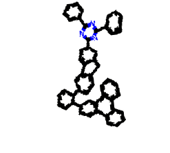 c1ccc(-c2nc(-c3ccccc3)nc(-c3ccc4c(c3)Cc3ccc(-c5ccccc5-c5ccc6c7ccccc7c7ccccc7c6c5)cc3-4)n2)cc1